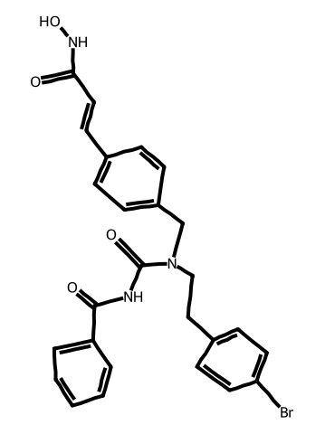 O=C(C=Cc1ccc(CN(CCc2ccc(Br)cc2)C(=O)NC(=O)c2ccccc2)cc1)NO